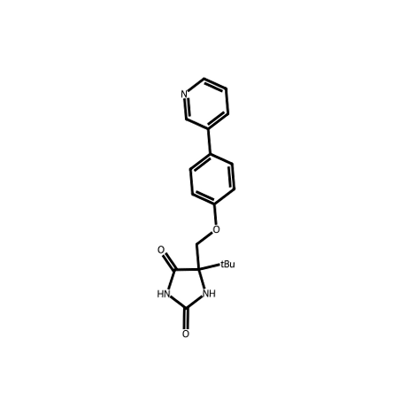 CC(C)(C)C1(COc2ccc(-c3cccnc3)cc2)NC(=O)NC1=O